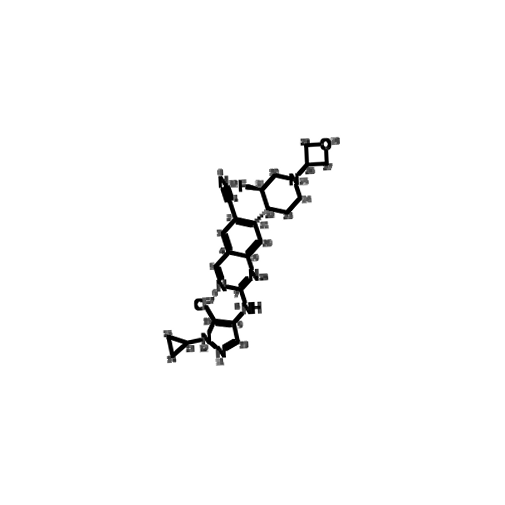 N#Cc1cc2cnc(Nc3cnn(C4CC4)c3Cl)nc2cc1[C@H]1CCN(C2COC2)C[C@@H]1F